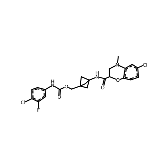 CN1CC(C(=O)NC23CC(COC(=O)Nc4ccc(Cl)c(F)c4)(C2)C3)Oc2ccc(Cl)cc21